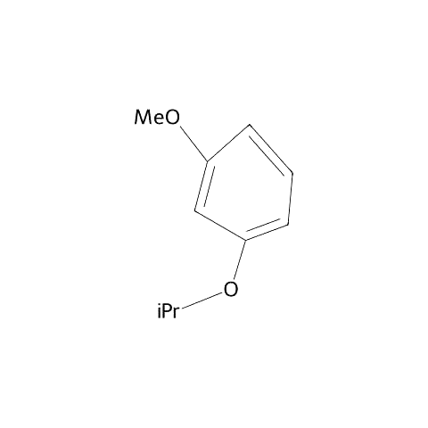 [CH2]Oc1cccc(OC(C)C)c1